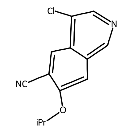 CC(C)Oc1cc2cncc(Cl)c2cc1C#N